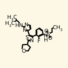 CCCS(=O)(=O)Nc1cccc(-c2nc(C3CCOCC3)sc2-c2ccnc(NCC(C)C)n2)c1F